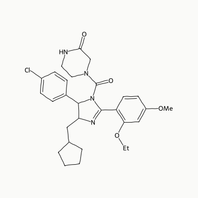 CCOc1cc(OC)ccc1C1=NC(CC2CCCC2)C(c2ccc(Cl)cc2)N1C(=O)N1CCNC(=O)C1